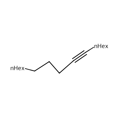 [CH2]CCCCCC#CCCCCCCCCC